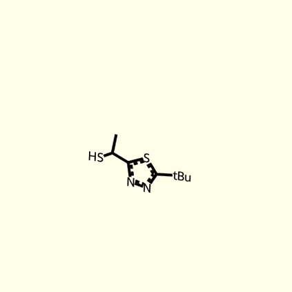 CC(S)c1nnc(C(C)(C)C)s1